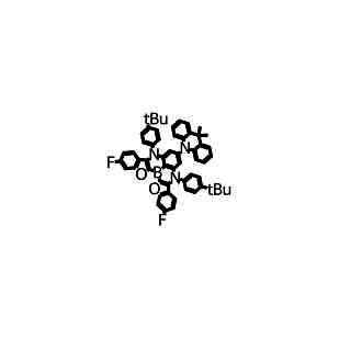 CC(C)(C)c1ccc(N2c3cc(N4c5ccccc5C(C)(C)c5ccccc54)cc4c3B(c3oc5cc(F)ccc5c32)c2oc3cc(F)ccc3c2N4c2ccc(C(C)(C)C)cc2)cc1